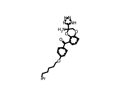 CC(C)CCCCCOc1ccc(C(=O)c2cccc3c2OC(N)(c2nnn[nH]2)CO3)cc1